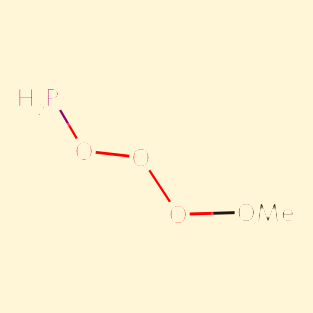 COOOOP